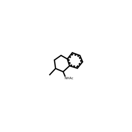 CC(=O)NC1c2ccccc2CCC1C